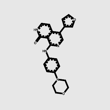 O=c1[nH]ccc2c(-c3ccoc3)cnc(Nc3ccc(N4CCOCC4)cc3)c12